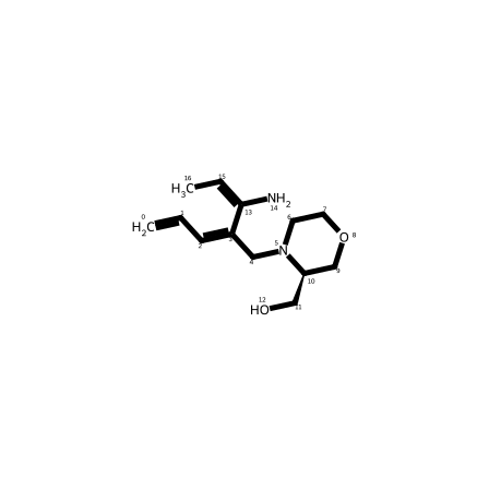 C=C/C=C(CN1CCOC[C@H]1CO)\C(N)=C/C